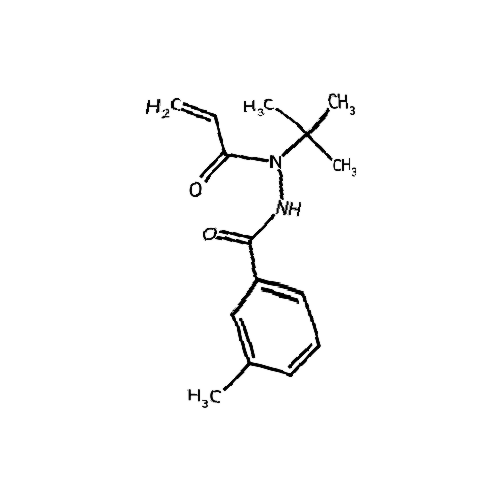 C=CC(=O)N(NC(=O)c1cccc(C)c1)C(C)(C)C